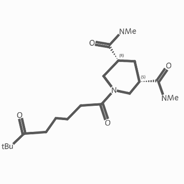 CNC(=O)[C@@H]1C[C@H](C(=O)NC)CN(C(=O)CCCCC(=O)C(C)(C)C)C1